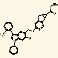 CC(C)(C)OC(=O)C1C2Cc3cc(OCc4cc5c(-c6ccccc6C(F)(F)F)cn(-c6ccccc6)c5cc4F)ncc3C21